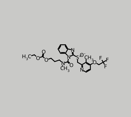 CCOC(=O)OCCCN(C)C(=O)n1c([S@+]([O-])Cc2nccc(OCC(F)(F)F)c2C)nc2ccccc21